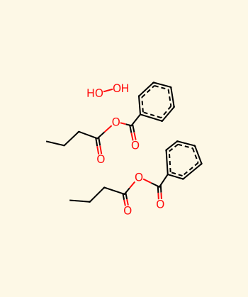 CCCC(=O)OC(=O)c1ccccc1.CCCC(=O)OC(=O)c1ccccc1.OO